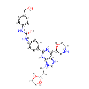 O=C(Nc1ccc(CO)cc1)Nc1ccc(-c2nc(C3CNCCO3)c3ncn(CCC4OCCO4)c3n2)cc1